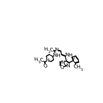 C=C(/N=C\C=C(/N)c1c(-c2ccccc2C)nc2occn12)NC1CCN(C(C)=O)CC1